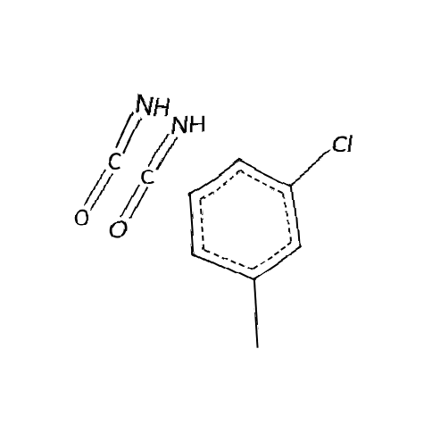 Cc1cccc(Cl)c1.N=C=O.N=C=O